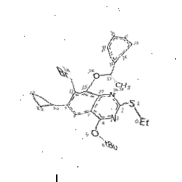 CCSc1nc(OC(C)(C)C)c2cc(C3CC3)c(Br)c(O[C@@H](C)c3ccccc3)c2n1